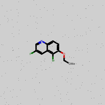 COCOc1ccc2ncc(F)cc2c1Br